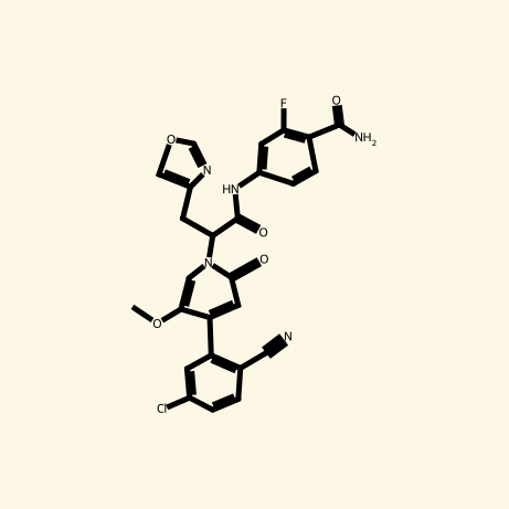 COc1cn(C(Cc2cocn2)C(=O)Nc2ccc(C(N)=O)c(F)c2)c(=O)cc1-c1cc(Cl)ccc1C#N